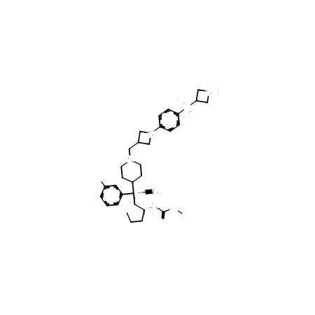 COC(=O)N[C@H]1CCC[C@@H]1[C@](C#N)(c1cccc(F)c1)C1CCN(CC2CN(c3ccc(S(=O)(=O)C4CNC4)cc3)C2)CC1